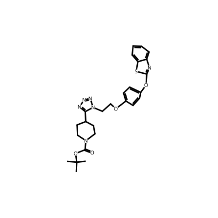 CC(C)(C)OC(=O)N1CCC(c2nnnn2CCOc2ccc(Oc3nc4ccccc4s3)cc2)CC1